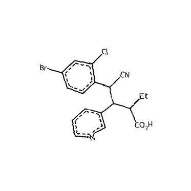 CCC(C(=O)O)C(c1cccnc1)C(C#N)c1ccc(Br)cc1Cl